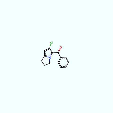 O=C(c1ccccc1)c1c(Cl)cc2n1CCC2